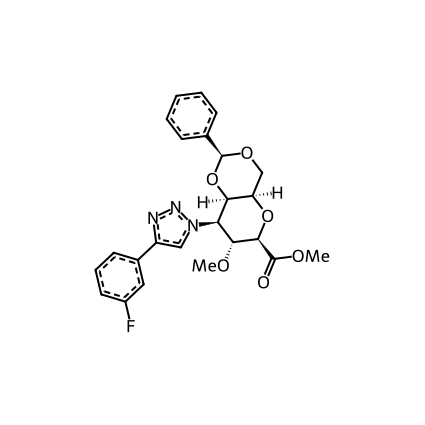 COC(=O)[C@@H]1O[C@@H]2CO[C@H](c3ccccc3)O[C@@H]2[C@H](n2cc(-c3cccc(F)c3)nn2)[C@H]1OC